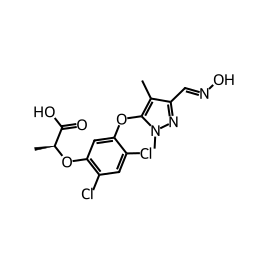 Cc1c(/C=N/O)nn(C)c1Oc1cc(O[C@@H](C)C(=O)O)c(Cl)cc1Cl